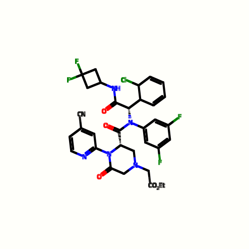 CCOC(=O)CN1CC(=O)N(c2cc(C#N)ccn2)[C@H](C(=O)N(c2cc(F)cc(F)c2)[C@H](C(=O)NC2CC(F)(F)C2)C2C=CC=CC2Cl)C1